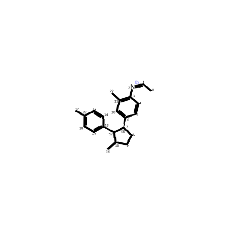 C/C=N\c1ccc([C@H]2CCC(C)C2c2ccc(C)cc2)cc1C